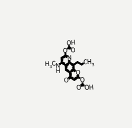 CCCc1c2nc(OC(=O)O)cc(NC)c2cc2c(=O)cc(OC(=O)O)oc12